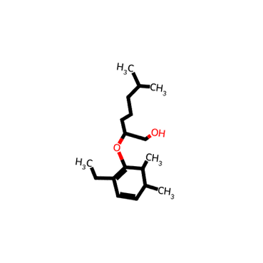 CCC1=C(OC(CO)CCCC(C)C)C(C)C(C)C=C1